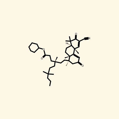 CCCC(C)(C)CC[C@](C)(CCC(=O)OC1CCCCC1)CC[C@]1(C)CC(=O)C=C2[C@@]3(C)C=C(C#N)C(=O)C(C)(C)[C@@H]3CC[C@]21C